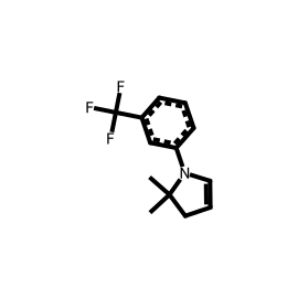 CC1(C)CC=CN1c1cccc(C(F)(F)F)c1